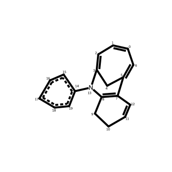 C1=CC=C2CC(=C1)C1=C(CCC=C1)N2c1ccccc1